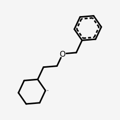 [CH]1CCCCC1CCOCc1ccccc1